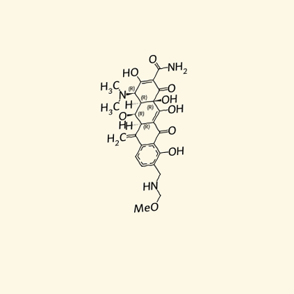 C=C1c2ccc(CNCOC)c(O)c2C(=O)C2=C(O)[C@@]3(O)C(=O)C(C(N)=O)=C(O)[C@H](N(C)C)[C@@H]3[C@H](O)[C@H]12